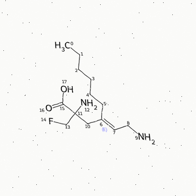 CCCCCC/C(=C\CN)CC(N)(CF)C(=O)O